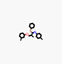 CC(=COc1cccc(C)c1)C(=Nc1ccc(C)cc1)Sc1ccccc1